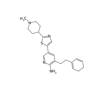 CN1CCC(c2ncc(-c3cnc(N)c(CCC4=CCCC=C4)c3)s2)CC1